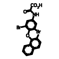 Cc1ccc2ccccc2c1Oc1c(Br)cc(NC(=O)C(=O)O)cc1Br